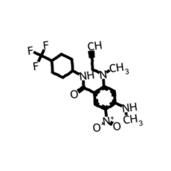 C#CCN(C)c1cc(NC)c([N+](=O)[O-])cc1C(=O)NC1CCC(C(F)(F)F)CC1